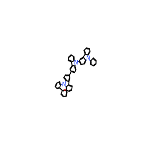 c1ccc(-c2ccccc2-n2c3ccccc3c3cc(-c4ccc5c(c4)c4ccccc4n5-c4ccc5c(c4)c4ccccc4n5-c4ccccc4)ccc32)cc1